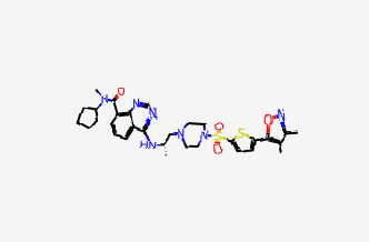 Cc1noc(-c2ccc(S(=O)(=O)N3CCN(C[C@H](C)Nc4ncnc5c(C(=O)N(C)C6CCCC6)cccc45)CC3)s2)c1C